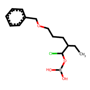 CCC(CCCOCc1ccccc1)C(Cl)OB(O)O